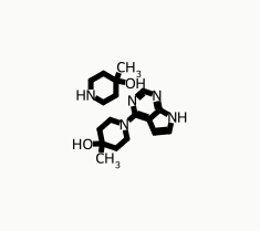 CC1(O)CCN(c2ncnc3[nH]ccc23)CC1.CC1(O)CCNCC1